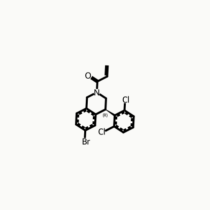 C=CC(=O)N1Cc2ccc(Br)cc2[C@H](c2c(Cl)cccc2Cl)C1